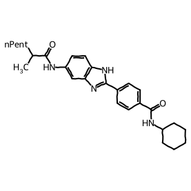 CCCCCC(C)C(=O)Nc1ccc2[nH]c(-c3ccc(C(=O)NC4CCCCC4)cc3)nc2c1